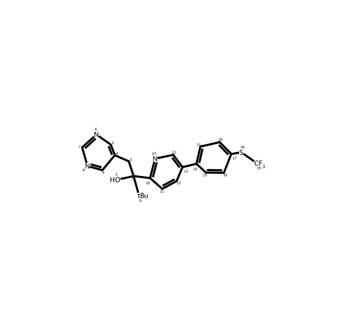 CC(C)(C)C(O)(Cc1cncnc1)c1ccc(-c2ccc(SC(F)(F)F)cc2)cn1